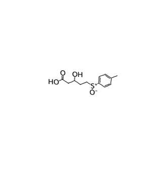 Cc1ccc([S+]([O-])CCC(O)CC(=O)O)cc1